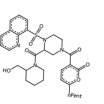 CCCCCc1ccc(C(=O)N2CCN(S(=O)(=O)c3cccc4cccnc34)C(C(=O)N3CCCCC3CO)C2)c(=O)o1